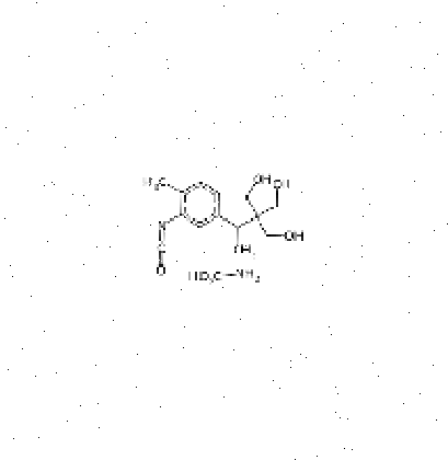 Cc1ccc(C(C)C(CO)(CO)CO)cc1N=C=O.NC(=O)O